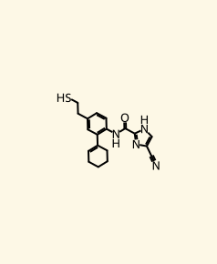 N#Cc1c[nH]c(C(=O)Nc2ccc(CCS)cc2C2=CCCCC2)n1